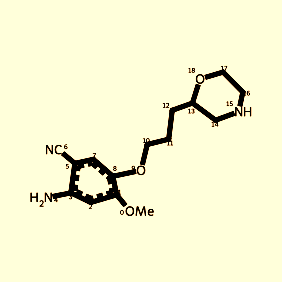 COc1cc(N)c(C#N)cc1OCCCC1CNCCO1